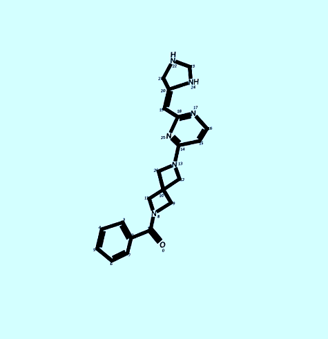 O=C(c1ccccc1)N1CC2(C1)CN(c1ccnc(/C=C3/CNCN3)n1)C2